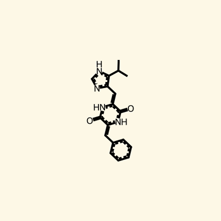 CC(C)c1[nH]cnc1/C=c1\[nH]c(=O)/c(=C/c2ccccc2)[nH]c1=O